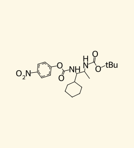 CC(NC(=O)OC(C)(C)C)C(NC(=O)Oc1ccc([N+](=O)[O-])cc1)C1CCCCC1